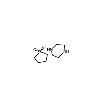 C1CNCCN1.O=S1(=O)CCCC1